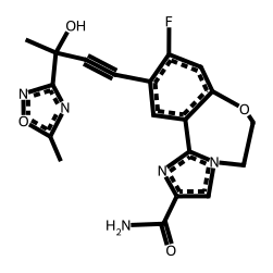 Cc1nc(C(C)(O)C#Cc2cc3c(cc2F)OCCn2cc(C(N)=O)nc2-3)no1